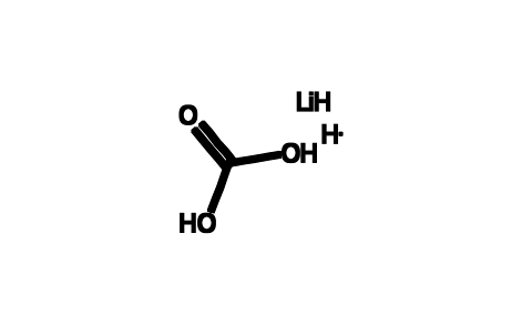 O=C(O)O.[H].[LiH]